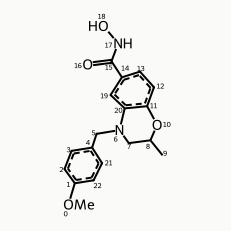 COc1ccc(CN2CC(C)Oc3ccc(C(=O)NO)cc32)cc1